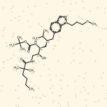 CCCCC(C)(C)C(=O)NC[C@H](O)[C@H](C[C@H](Cc1ccc2cnn(CCCOC)c2c1)C(C)C)NC(=O)OC(C)(C)C